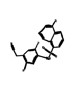 N#CCc1cc(F)c(NS(=O)(=O)c2cccc3c(Cl)cccc23)cc1F